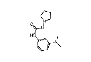 CN(C)c1cccc(NC(=O)ON2CCCC2)c1